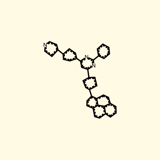 c1ccc(-c2nc(-c3ccc(-c4ccncc4)cc3)cc(-c3ccc(-c4ccc5ccc6cccc7ccc4c5c67)cc3)n2)cc1